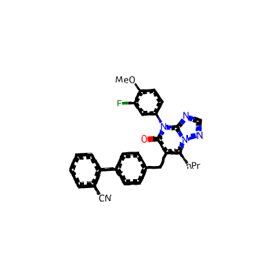 CCCc1c(Cc2ccc(-c3ccccc3C#N)cc2)c(=O)n(-c2ccc(OC)c(F)c2)c2ncnn12